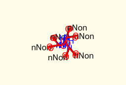 CCCCCCCCCOC(=O)CCCCCCCCN(CCCCCCCCC(=O)OCCCCCCCCC)CCCNC(=O)[C@H]1C[C@@H](C(=O)NCCCN(CCCCCCCCC(=O)OCCCCCCCCC)CCCCCCCCC(=O)OCCCCCCCCC)C[C@@H](C(=O)NCCCN(CCCCCCCCC(=O)OCCCCCCCCC)CCCCCCCCC(=O)OCCCCCCCCC)C1